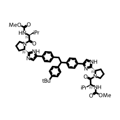 COC(=O)N[C@H](C(=O)N1CCC[C@H]1c1nc(-c2ccc(C(Cc3ccc(-c4cnc([C@@H]5CCCN5C(=O)[C@@H](NC(=O)OC)C(C)C)[nH]4)cc3)c3ccc(C(C)(C)C)cc3)cc2)c[nH]1)C(C)C